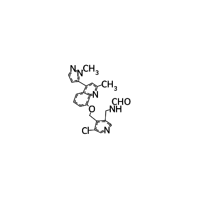 Cc1cc(-c2ccnn2C)c2cccc(OCc3c(Cl)cncc3CNC=O)c2n1